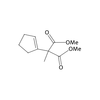 COC(=O)C(C)(C(=O)OC)C1=CCCC1